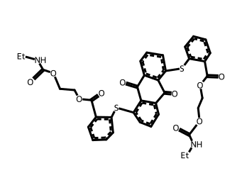 CCNC(=O)OCCOC(=O)c1ccccc1Sc1cccc2c1C(=O)c1cccc(Sc3ccccc3C(=O)OCCOC(=O)NCC)c1C2=O